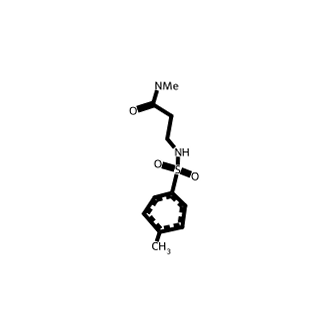 CNC(=O)CCNS(=O)(=O)c1ccc(C)cc1